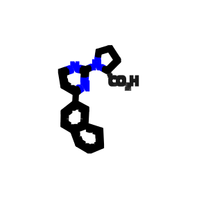 O=C(O)[C@H]1CCCN1c1nccc(-c2ccc3ccccc3c2)n1